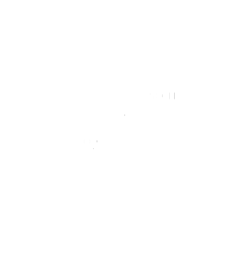 CCOC(=O)C(C)(C)OS(=O)(=O)O